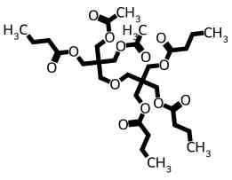 CCCC(=O)OCC(COCC(COC(=O)CCC)(COC(=O)CCC)COC(=O)CCC)(COC(C)=O)COC(C)=O